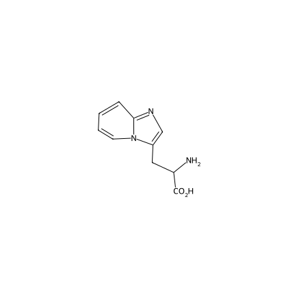 NC(Cc1cnc2ccccn12)C(=O)O